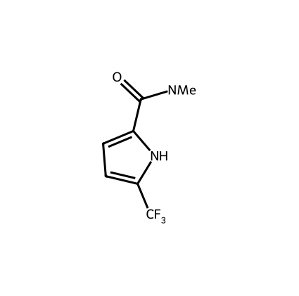 CNC(=O)c1ccc(C(F)(F)F)[nH]1